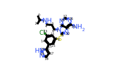 CC(C)NCCCn1c(Sc2cc(Cl)cc(-c3ccn[nH]3)c2)nc2c(N)ncnc21